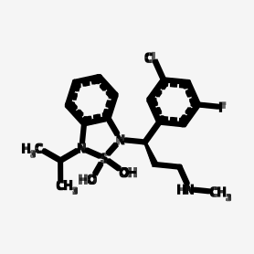 CNCC[C@H](c1cc(F)cc(Cl)c1)N1c2ccccc2N(C(C)C)S1(O)O